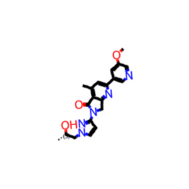 COc1cncc(-c2cc(C)c3c(n2)CN(c2ccn(C[C@H](C)O)n2)C3=O)c1